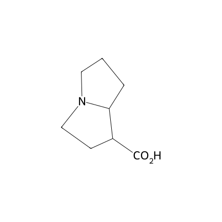 O=C(O)C1CCN2CCCC12